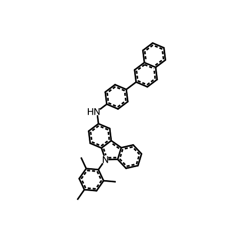 Cc1cc(C)c(-n2c3ccccc3c3cc(Nc4ccc(-c5ccc6ccccc6c5)cc4)ccc32)c(C)c1